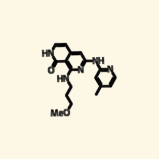 COCCCNc1nc(Nc2cc(C)ccn2)cc2cc[nH]c(=O)c12